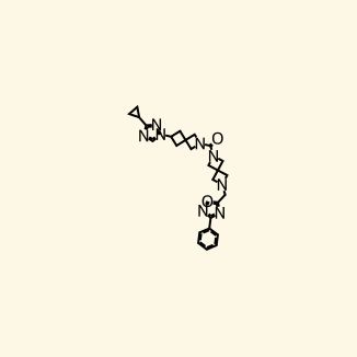 O=C(N1CC2(CC(n3cnc(C4CC4)n3)C2)C1)N1CC2(CN(Cc3nc(-c4ccccc4)no3)C2)C1